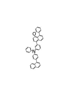 c1ccc(N(c2ccc(-c3cccc4ccccc34)cc2)c2cccc(-c3ccc4c5c(cccc35)-c3ccccc3O4)c2)cc1